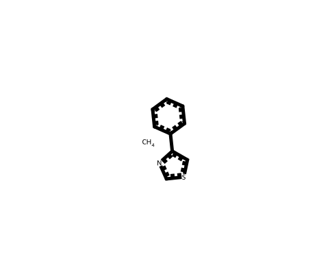 C.c1ccc(-c2cscn2)cc1